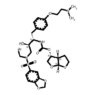 CC(C)CN(C[C@@H](O)[C@H](Cc1ccc(OCCN(C)C)cc1)NC(=O)O[C@H]1CO[C@H]2OCC[C@H]21)S(=O)(=O)c1ccc2c(c1)OCO2